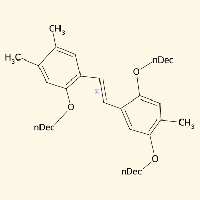 CCCCCCCCCCOc1cc(/C=C/c2cc(C)c(C)cc2OCCCCCCCCCC)c(OCCCCCCCCCC)cc1C